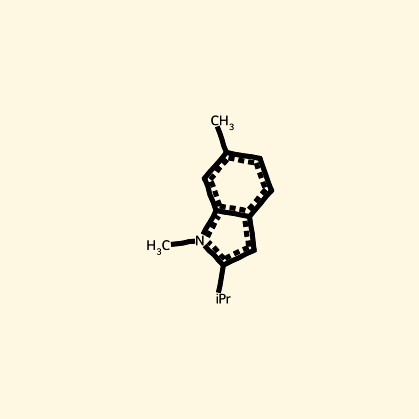 Cc1ccc2cc(C(C)C)n(C)c2c1